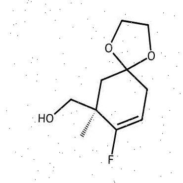 C[C@]1(CO)CC2(CC=C1F)OCCO2